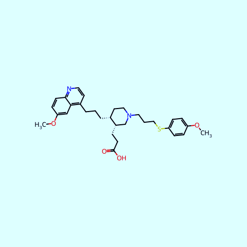 COc1ccc(SCCCN2CC[C@@H](CCCc3ccnc4ccc(OC)cc34)[C@@H](CCC(=O)O)C2)cc1